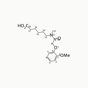 COc1ccccc1OCC(=O)N(C)CCCCCC(=O)O